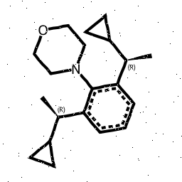 C[C@@H](c1cccc([C@H](C)C2CC2)c1N1CCOCC1)C1CC1